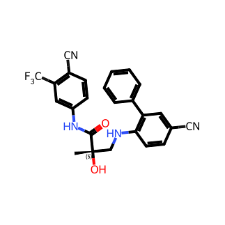 C[C@](O)(CNc1ccc(C#N)cc1-c1ccccc1)C(=O)Nc1ccc(C#N)c(C(F)(F)F)c1